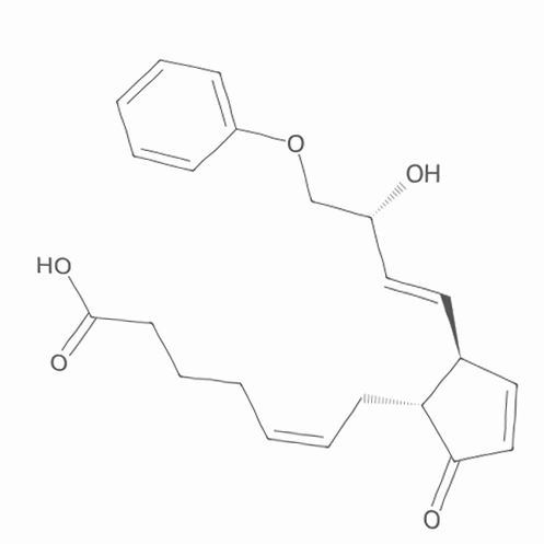 O=C(O)CCC/C=C\C[C@H]1C(=O)C=C[C@@H]1/C=C/[C@@H](O)COc1ccccc1